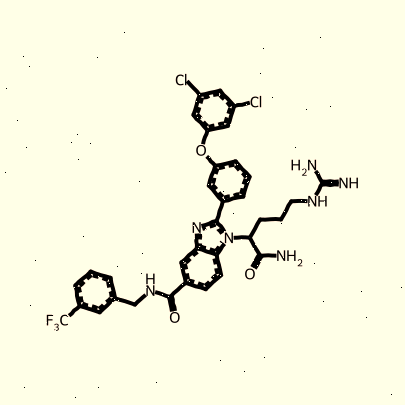 N=C(N)NCCCC(C(N)=O)n1c(-c2cccc(Oc3cc(Cl)cc(Cl)c3)c2)nc2cc(C(=O)NCc3cccc(C(F)(F)F)c3)ccc21